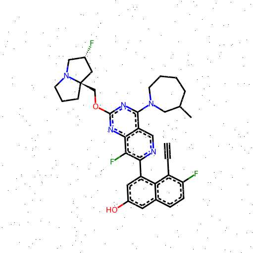 C#Cc1c(F)ccc2cc(O)cc(-c3ncc4c(N5CCCCC(C)C5)nc(OC[C@@]56CCCN5C[C@H](F)C6)nc4c3F)c12